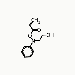 C=CC(=O)ON(CCO)c1ccccc1